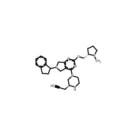 C#CC[C@H]1CN(c2nc(OC[C@@H]3CCCN3C)nc3c2CN(C2CCc4ccccc42)C3)CCN1